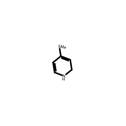 CSC1=CCNC=C1